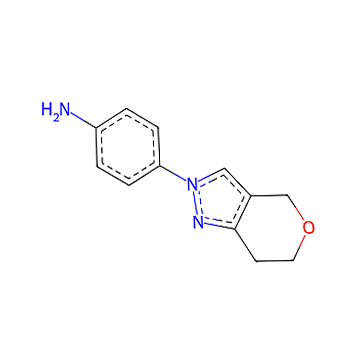 Nc1ccc(-n2cc3c(n2)CCOC3)cc1